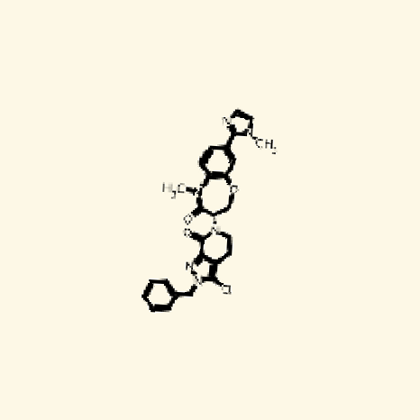 CN1C(=O)[C@@H](N2CCc3c(nn(Cc4ccccc4)c3Cl)C2=O)COc2cc(-c3nccn3C)ccc21